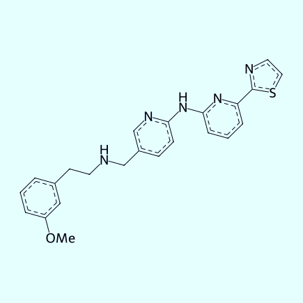 COc1cccc(CCNCc2ccc(Nc3cccc(-c4nccs4)n3)nc2)c1